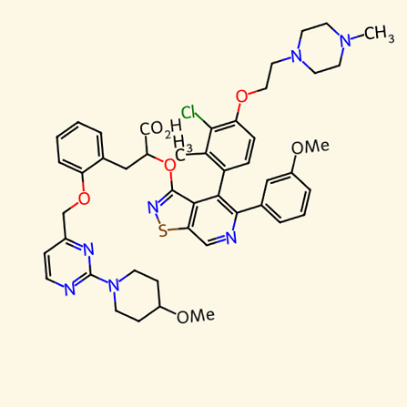 COc1cccc(-c2ncc3snc(OC(Cc4ccccc4OCc4ccnc(N5CCC(OC)CC5)n4)C(=O)O)c3c2-c2ccc(OCCN3CCN(C)CC3)c(Cl)c2C)c1